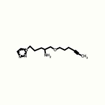 CC#CCCCOCC(N)CCCn1ccnn1